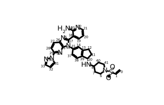 C=CS(=O)(=O)N1CCC(N[C@H]2CCc3cc(-n4c(-c5cccnc5N)nc5ccc(-n6cccn6)nc54)ccc32)CC1